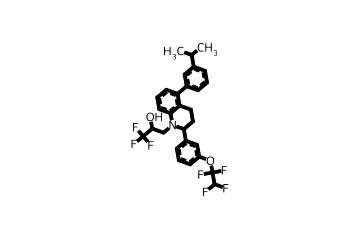 CC(C)c1cccc(-c2cccc3c2CCC(c2cccc(OC(F)(F)C(F)F)c2)N3CC(O)C(F)(F)F)c1